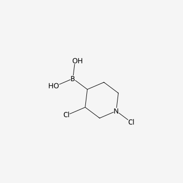 OB(O)C1CCN(Cl)CC1Cl